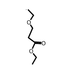 [CH2]COCCC(=O)OCC